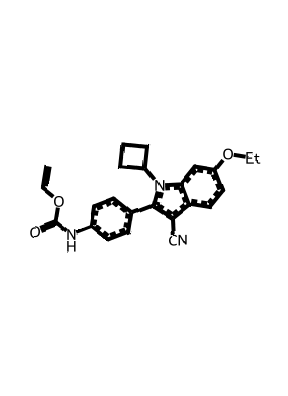 C=COC(=O)Nc1ccc(-c2c(C#N)c3ccc(OCC)cc3n2C2CCC2)cc1